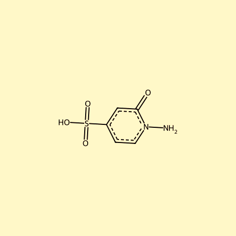 Nn1ccc(S(=O)(=O)O)cc1=O